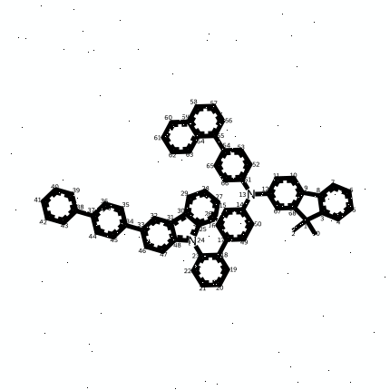 CC1(C)c2ccccc2-c2ccc(N(c3ccc(-c4ccccc4-n4c5ccccc5c5cc(-c6ccc(-c7ccccc7)cc6)ccc54)cc3)c3ccc(-c4cccc5ccccc45)cc3)cc21